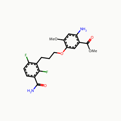 COC(=O)c1cc(OCCCc2c(F)ccc(C(N)=O)c2F)c(OC)cc1N